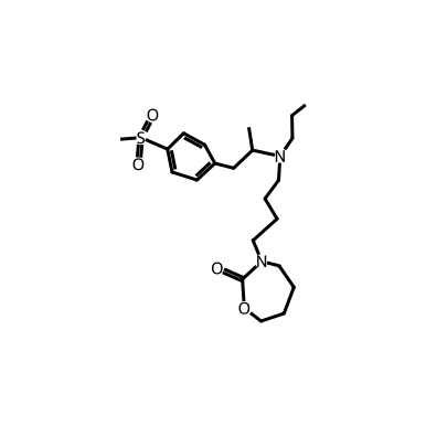 CCCN(CCCCN1CCCCOC1=O)C(C)Cc1ccc(S(C)(=O)=O)cc1